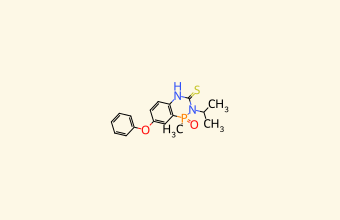 CC(C)N1C(=S)Nc2ccc(Oc3ccccc3)cc2P1(C)=O